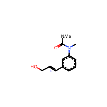 CNC(=O)N(C)c1cccc(/C=C/CO)c1